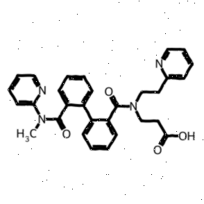 CN(C(=O)c1ccccc1-c1ccccc1C(=O)N(CCC(=O)O)CCc1ccccn1)c1ccccn1